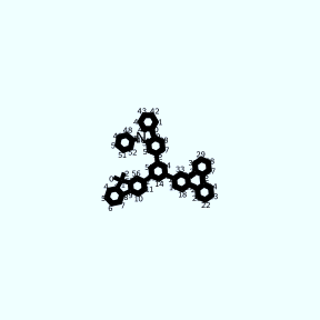 CC1(C)c2ccccc2-c2ccc(-c3cc(-c4ccc5c6ccccc6c6ccccc6c5c4)cc(-c4ccc5c6ccccc6n(-c6ccccc6)c5c4)c3)cc21